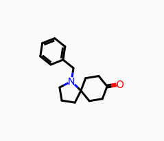 O=C1CCC2(CCCN2Cc2ccccc2)CC1